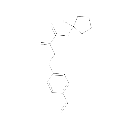 C=Cc1ccc(OCC(=O)C(=O)OC2(CC)CCCC2)cc1